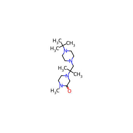 CN1CCN(C(C)(C)CN2CCN(C(C)(C)C)CC2)CC1=O